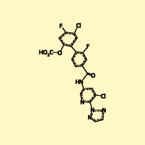 O=C(O)Oc1cc(F)c(Cl)cc1-c1ccc(C(=O)Nc2cnc(-n3nccn3)c(Cl)c2)cc1F